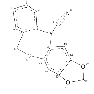 N#CC1c2ccccc2COc2cc3c(cc21)OCO3